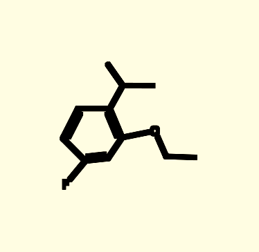 CCOc1cc(F)ccc1C(C)C